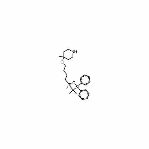 C[C@H](CCCCOC1(C)CCNCC1)O[Si](c1ccccc1)(c1ccccc1)C(C)(C)C